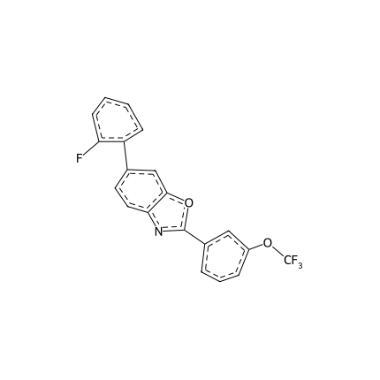 Fc1ccccc1-c1ccc2nc(-c3cccc(OC(F)(F)F)c3)oc2c1